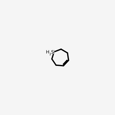 C1=CCC[SiH2]CC1